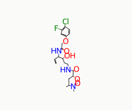 C=CC(NC(=O)COc1ccc(Cl)c(F)c1)C(O)CCNC(=O)C1CC(C)N(C)OO1